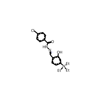 CC[N+](CC)(CC)c1ccc(/C=N/NC(=O)c2ccc(Cl)cc2)c(O)c1